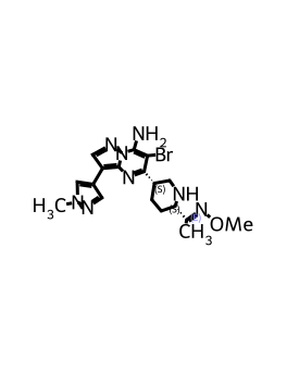 CO/N=C(\C)[C@@H]1CC[C@H](c2nc3c(-c4cnn(C)c4)cnn3c(N)c2Br)CN1